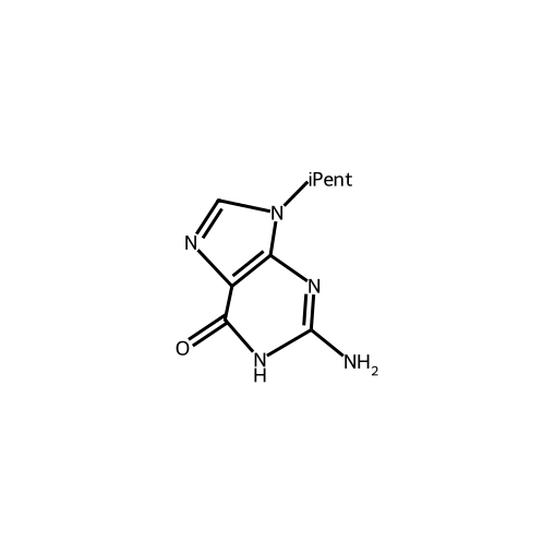 CCCC(C)n1cnc2c(=O)[nH]c(N)nc21